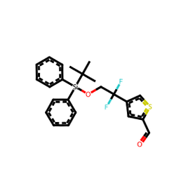 CC(C)(C)[Si](OCC(F)(F)c1csc(C=O)c1)(c1ccccc1)c1ccccc1